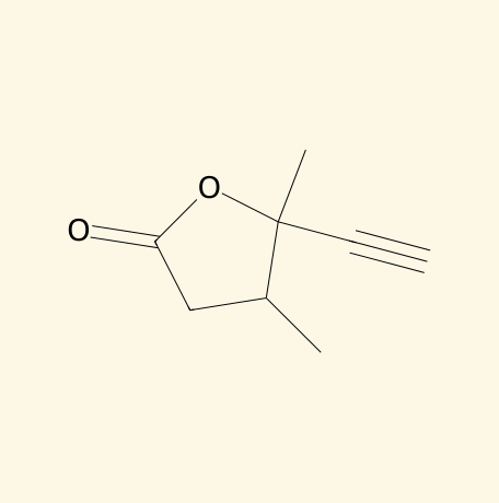 C#CC1(C)OC(=O)CC1C